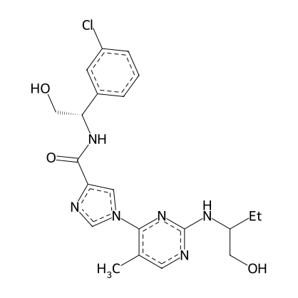 CCC(CO)Nc1ncc(C)c(-n2cnc(C(=O)N[C@H](CO)c3cccc(Cl)c3)c2)n1